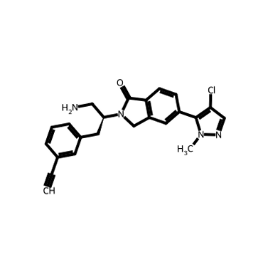 C#Cc1cccc(C[C@@H](CN)N2Cc3cc(-c4c(Cl)cnn4C)ccc3C2=O)c1